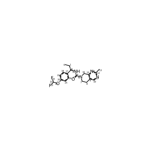 CC[C@@H](NC(=O)N1CCc2cnc(C)nc2C1)c1ccc(OC(F)F)cc1